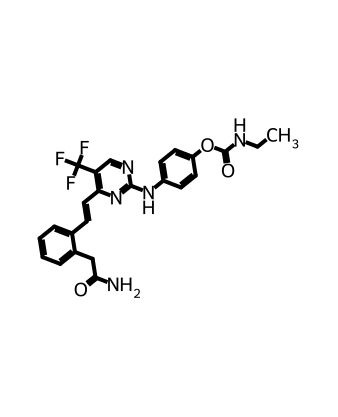 CCNC(=O)Oc1ccc(Nc2ncc(C(F)(F)F)c(C=Cc3ccccc3CC(N)=O)n2)cc1